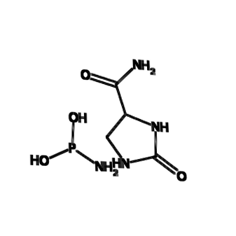 NC(=O)C1CNC(=O)N1.NP(O)O